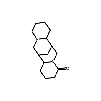 O=C1CCCC2C3CC(CN12)C1CCCCN1C3